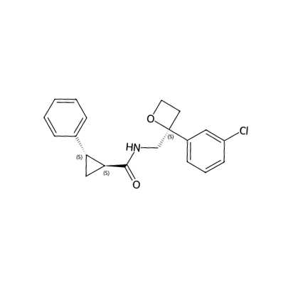 O=C(NC[C@@]1(c2cccc(Cl)c2)CCO1)[C@H]1C[C@@H]1c1ccccc1